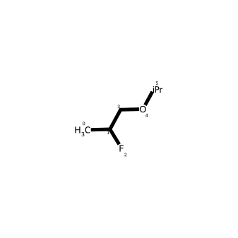 CC(F)COC(C)C